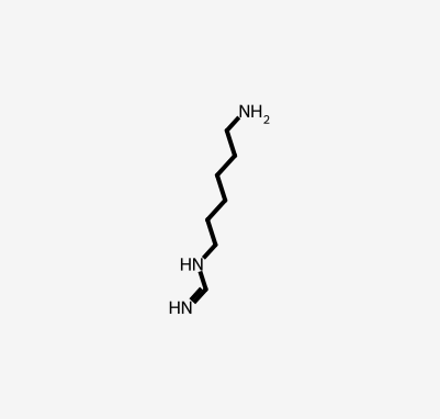 N=CNCCCCCCN